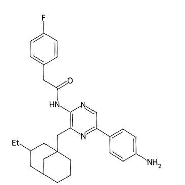 CCC1CC2CCCC(Cc3nc(-c4ccc(N)cc4)cnc3NC(=O)Cc3ccc(F)cc3)(C1)C2